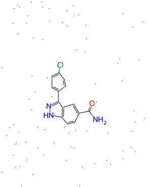 NC(=O)c1ccc2[nH]nc(-c3ccc(Cl)cc3)c2c1